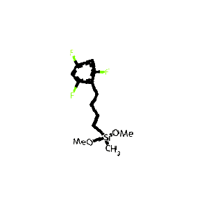 CO[Si](C)(CCCCc1c(F)cc(F)cc1F)OC